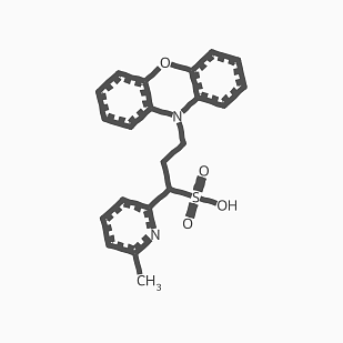 Cc1cccc(C(CCN2c3ccccc3Oc3ccccc32)S(=O)(=O)O)n1